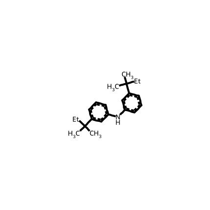 CCC(C)(C)c1cccc(Nc2cccc(C(C)(C)CC)c2)c1